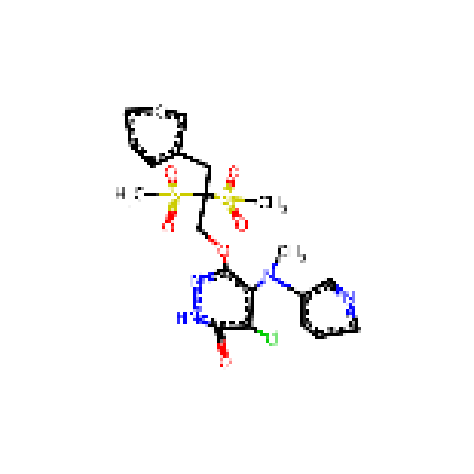 CN(c1cccnc1)c1c(OCC(Cc2ccccc2)(S(C)(=O)=O)S(C)(=O)=O)n[nH]c(=O)c1Cl